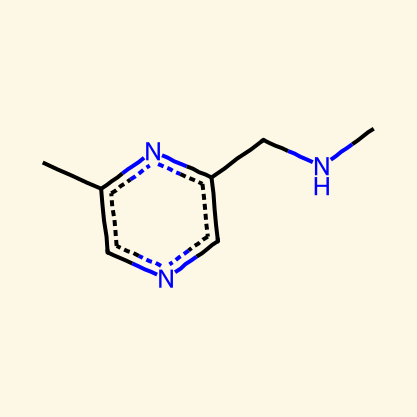 CNCc1cncc(C)n1